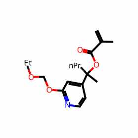 C=C(C)C(=O)OC(C)(CCC)c1ccnc(OCOCC)c1